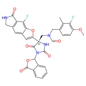 COc1ccc(CN(C=O)C[C@@]2(c3cc4cc5c(c(F)c4o3)C(=O)NC5)NC(=O)N(C3OC(=O)c4ccccc43)C2=O)c(C)c1F